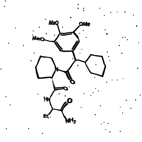 CCC(NC(=O)[C@@H]1CCCCN1C(=O)C(c1cc(OC)c(OC)c(OC)c1)C1CCCCC1)C(N)=O